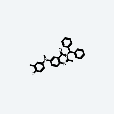 Cc1cc(N(C)c2ccc3nc(C)n(C(c4ccccc4)c4ccccc4)c(=O)c3c2)ccc1F